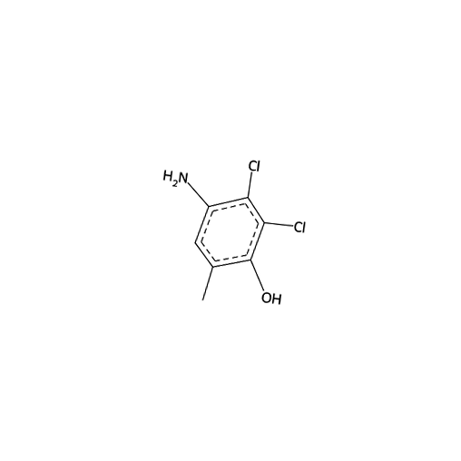 Cc1cc(N)c(Cl)c(Cl)c1O